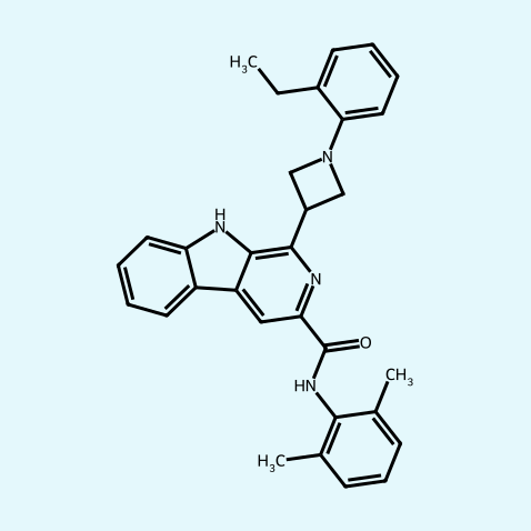 CCc1ccccc1N1CC(c2nc(C(=O)Nc3c(C)cccc3C)cc3c2[nH]c2ccccc23)C1